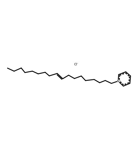 CCCCCCCCC=CCCCCCCCC[n+]1ccccc1.[Cl-]